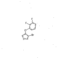 Fc1cccc(Oc2cs[c]c2Br)c1F